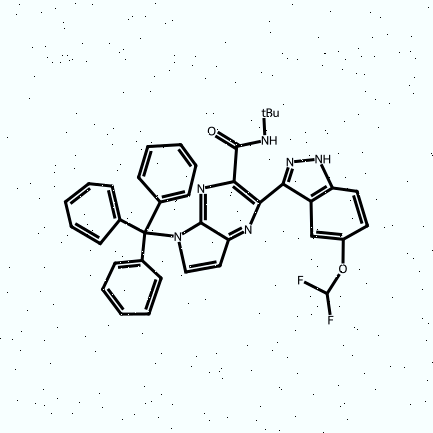 CC(C)(C)NC(=O)c1nc2c(ccn2C(c2ccccc2)(c2ccccc2)c2ccccc2)nc1-c1n[nH]c2ccc(OC(F)F)cc12